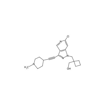 CN1CCC(C#Cc2nn(CC3(CO)CCC3)c3cc(Cl)ncc23)CC1